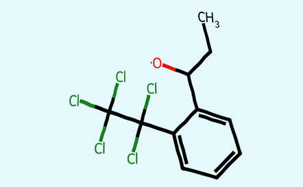 CCC([O])c1ccccc1C(Cl)(Cl)C(Cl)(Cl)Cl